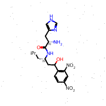 CC(C)C[C@@H](CC(O)c1ccc([N+](=O)[O-])cc1[N+](=O)[O-])NC(=O)[C@@H](N)Cc1c[nH]cn1